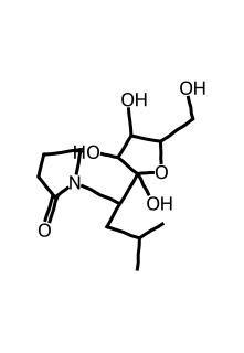 CC(C)CC(N1CCCC1=O)C1(O)OC(CO)C(O)C1O